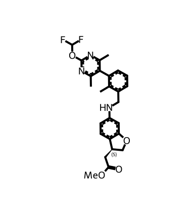 COC(=O)C[C@@H]1COc2cc(NCc3cccc(-c4c(C)nc(OC(F)F)nc4C)c3C)ccc21